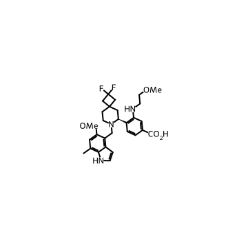 COCCNc1cc(C(=O)O)ccc1[C@@H]1CC2(CCN1Cc1c(OC)cc(C)c3[nH]ccc13)CC(F)(F)C2